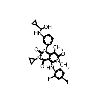 Cc1c(=O)n(C)c(Nc2ccc(I)cc2F)c2c(=O)n(C3CC3)c(=O)n(-c3cccc(NC(O)C4CC4)c3)c12